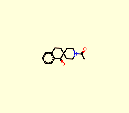 CC(=O)N1CCC2(CCc3ccccc3C2=O)CC1